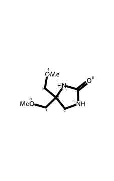 COCC1(COC)CNC(=O)N1